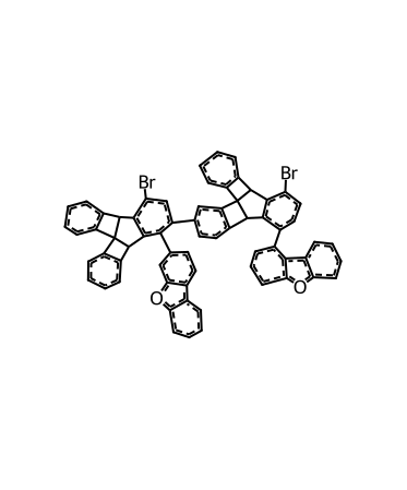 Brc1ccc(-c2cccc3oc4ccccc4c23)c2c1C1c3ccccc3C13c1cc(-c4cc(Br)c5c(c4-c4ccc6c(c4)oc4ccccc46)C4c6ccccc6C46c4ccccc4C56)ccc1C23